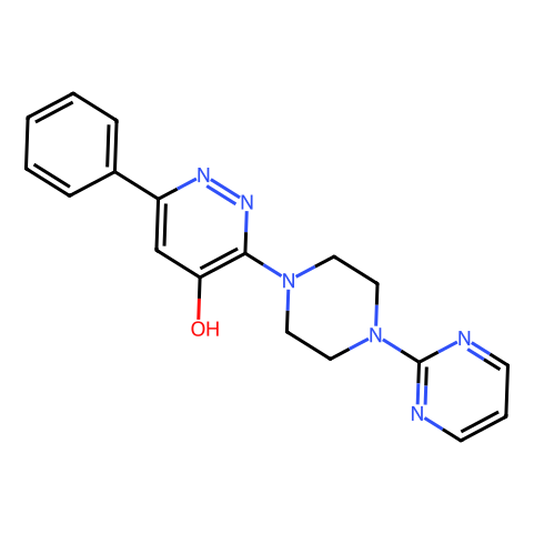 Oc1cc(-c2ccccc2)nnc1N1CCN(c2ncccn2)CC1